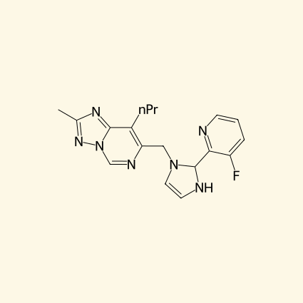 CCCc1c(CN2C=CNC2c2ncccc2F)ncn2nc(C)nc12